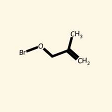 C=C(C)COBr